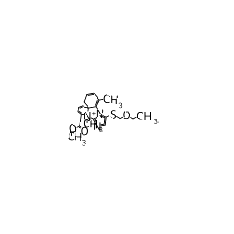 CCOCSc1cnc2n1C1=C(C)C=CCC13C=CC=C(C(=O)OC)[N+]23C